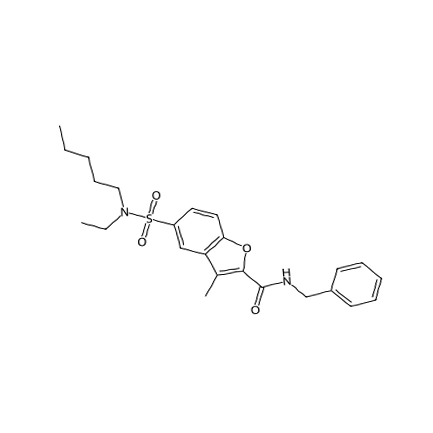 CCCCCN(CC)S(=O)(=O)c1ccc2oc(C(=O)NCc3ccccc3)c(C)c2c1